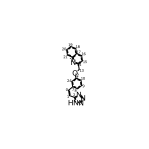 C(=C/c1nnn[nH]1)/c1cccc(OCc2ccc3ccccc3n2)c1